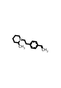 C=Cc1ccc(CCN2CCCCC2C)cc1